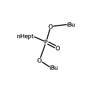 CCCCCCCP(=O)(OC(C)CC)OC(C)CC